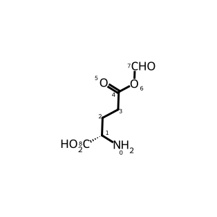 N[C@@H](CCC(=O)OC=O)C(=O)O